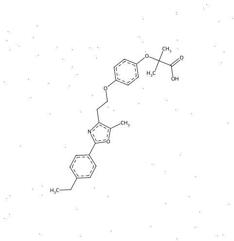 CCc1ccc(-c2nc(CCOc3ccc(OC(C)(C)C(=O)O)cc3)c(C)o2)cc1